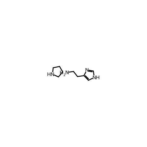 C1CCNC1.NCCc1c[nH]cn1